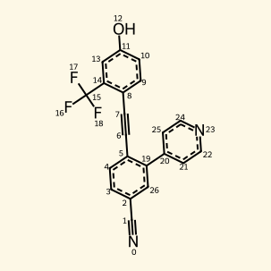 N#Cc1ccc(C#Cc2ccc(O)cc2C(F)(F)F)c(-c2ccncc2)c1